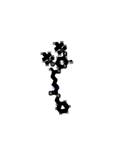 C[C@H](CC/C=C/C(=O)OCc1ccccc1)O[C@@H]1O[C@@H](C)[C@H](O[Si](C)(C)C(C)(C)C)C[C@H]1O[Si](C)(C)C(C)(C)C